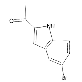 CC(=O)c1cc2cc(Br)ccc2[nH]1